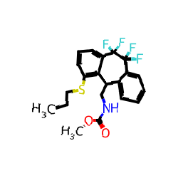 CCCSc1cccc2c1C(CNC(=O)OC)c1ccccc1C(F)(F)C2(F)F